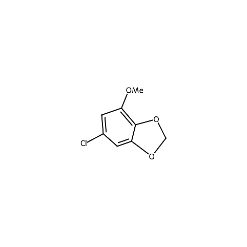 COc1cc(Cl)cc2c1OCO2